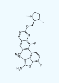 C[C@H]1CCN(C)[C@@H]1COc1ncc2cc(Cl)c(-c3ccc(F)c4sc(N)c(C#N)c34)c(F)c2n1